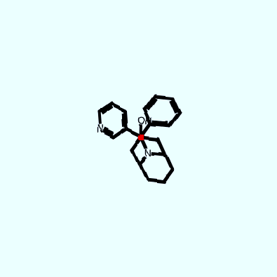 OC1(c2cccnc2)CC2CCCC(C1)N2Cc1ccccc1